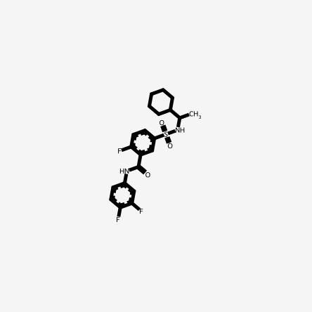 CC(NS(=O)(=O)c1ccc(F)c(C(=O)Nc2ccc(F)c(F)c2)c1)C1CCCCC1